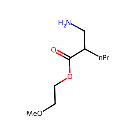 CCCC(CN)C(=O)OCCOC